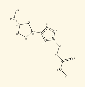 COC(=O)CCc1cnc(N2CC[C@H](OC)C2)s1